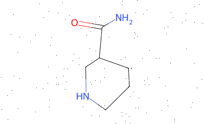 NC(=O)C1[CH]CCNC1